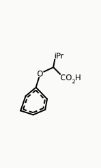 CC(C)C(Oc1ccccc1)C(=O)O